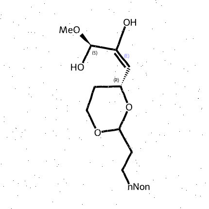 CCCCCCCCCCCC1OCC[C@H](/C=C(/O)[C@@H](O)OC)O1